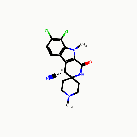 CN1CCC2(CC1)NC(=O)c1c(c3ccc(Cl)c(Cl)c3n1C)[C@H]2C#N